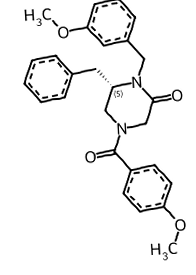 COc1ccc(C(=O)N2CC(=O)N(Cc3cccc(OC)c3)[C@@H](Cc3ccccc3)C2)cc1